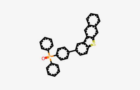 O=P(c1ccccc1)(c1ccccc1)c1ccc(-c2ccc3sc4cc5ccccc5cc4c3c2)cc1